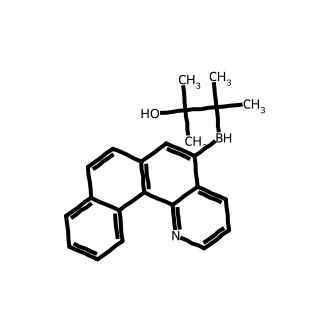 CC(C)(O)C(C)(C)Bc1cc2ccc3ccccc3c2c2ncccc12